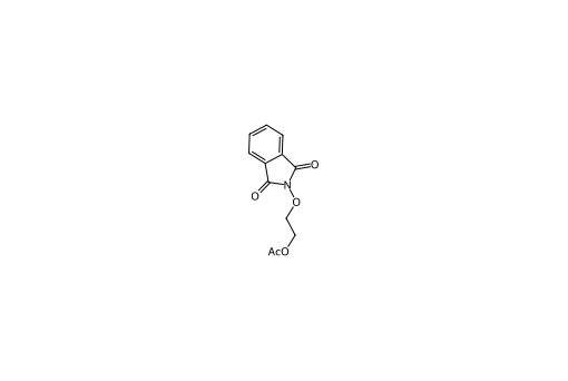 CC(=O)OCCON1C(=O)c2ccccc2C1=O